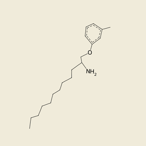 CCCCCCCCCCC(N)COc1cccc(C)c1